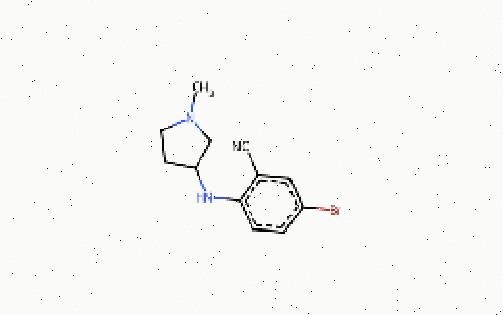 CN1CCC(Nc2ccc(Br)cc2C#N)C1